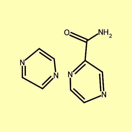 NC(=O)c1cnccn1.c1cnccn1